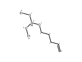 C=CCCCO[SiH](OCC)OCC